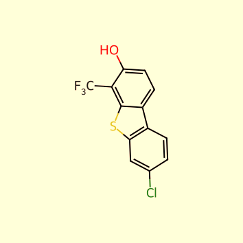 Oc1ccc2c(sc3cc(Cl)ccc32)c1C(F)(F)F